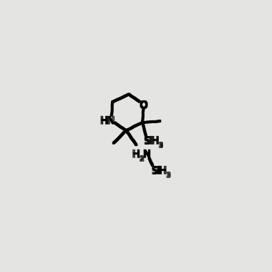 CC1(C)NCCOC1(C)[SiH3].N[SiH3]